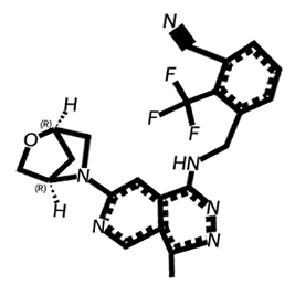 Cc1nnc(NCc2cccc(C#N)c2C(F)(F)F)c2cc(N3C[C@H]4C[C@@H]3CO4)ncc12